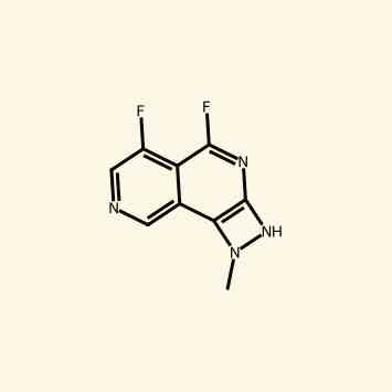 Cn1[nH]c2nc(F)c3c(F)cncc3c21